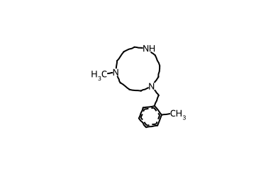 Cc1ccccc1CN1CCCNCCCN(C)CCC1